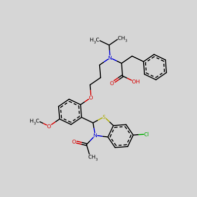 COc1ccc(OCCCN(C(C)C)C(Cc2ccccc2)C(=O)O)c(C2Sc3cc(Cl)ccc3N2C(C)=O)c1